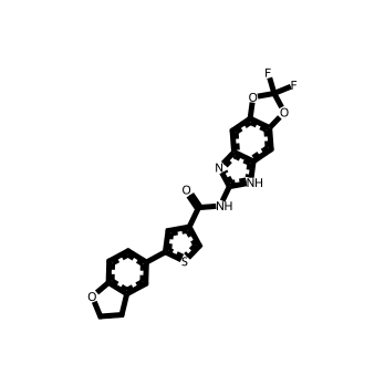 O=C(Nc1nc2cc3c(cc2[nH]1)OC(F)(F)O3)c1csc(-c2ccc3c(c2)CCO3)c1